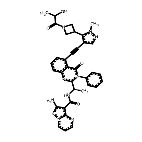 CC(O)C(=O)N1CC(c2c(C#Cc3cccc4nc([C@@H](C)NC(=O)c5c(N)nn6cccnc56)n(-c5ccccc5)c(=O)c34)cnn2C)C1